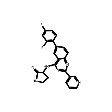 O=C1NCCC1Nc1nc(-c2cccnc2)nc2ccc(-c3ccc(F)cc3F)cc12